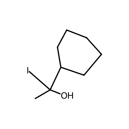 CC(O)(I)C1CCCCC1